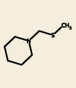 CSCN1CCCCC1